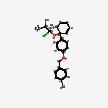 CCc1ccc(COc2ccc(C3(OC(F)(F)C(F)C(F)(F)F)C=CC=CC3F)cc2)cc1